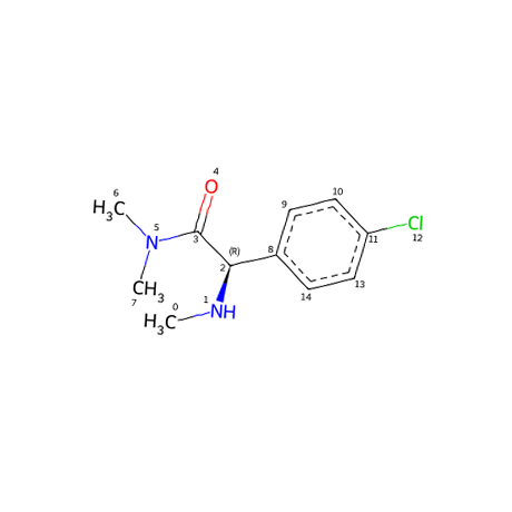 CN[C@@H](C(=O)N(C)C)c1ccc(Cl)cc1